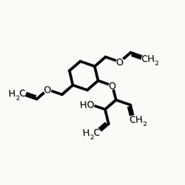 C=COCC1CCC(COC=C)C(OC(C=C)C(O)C=C)C1